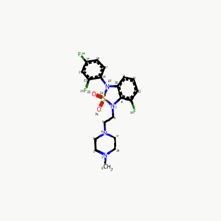 CN1CCN(CCN2c3c(F)cccc3N(c3ccc(F)cc3F)S2(=O)=O)CC1